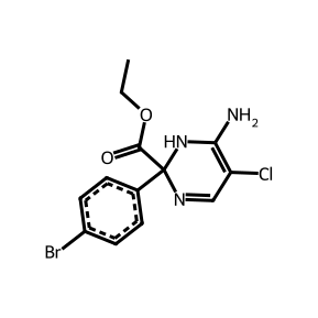 CCOC(=O)C1(c2ccc(Br)cc2)N=CC(Cl)=C(N)N1